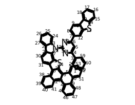 c1ccc(-c2cc(-c3ccc4c(c3)sc3ccccc34)nc(-n3c4ccccc4c4ccc5c(sc6c5c5ccccc5c5c7ccccc7c7ccccc7c65)c43)n2)cc1